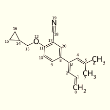 C=C/C=C(\C=C(C)C)c1ccc(OCC2CC2)c(C#N)c1